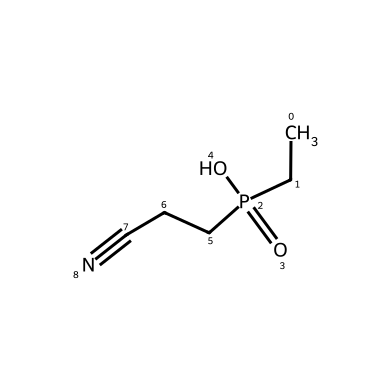 CCP(=O)(O)CCC#N